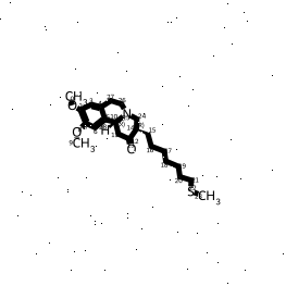 COc1cc2c(cc1OC)[C@H]1CC(=O)[C@H](CCCCCCCSC)CN1CC2